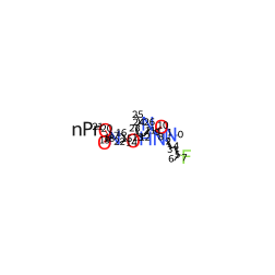 C=N/C(=C\C=C(/C)F)NC(=O)c1cc(OC2CN(C(=O)OCCC)C2)cc(C)n1